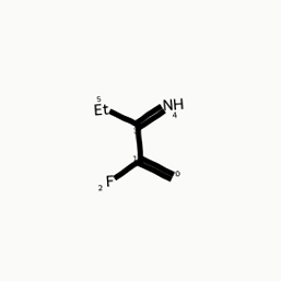 C=C(F)C(=N)CC